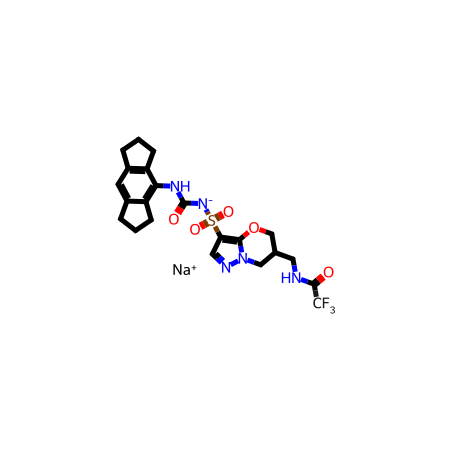 O=C([N-]S(=O)(=O)c1cnn2c1OCC(CNC(=O)C(F)(F)F)C2)Nc1c2c(cc3c1CCC3)CCC2.[Na+]